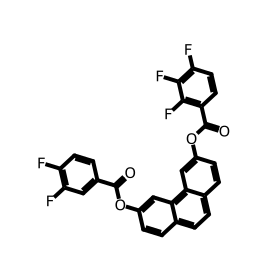 O=C(Oc1ccc2ccc3ccc(OC(=O)c4ccc(F)c(F)c4F)cc3c2c1)c1ccc(F)c(F)c1